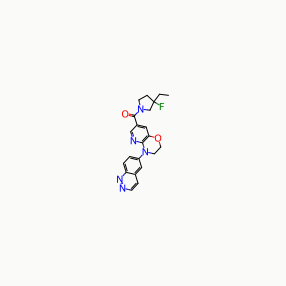 CCC1(F)CCN(C(=O)c2cnc3c(c2)OCCN3c2ccc3nnccc3c2)C1